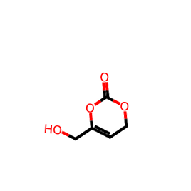 O=C1OCC=C(CO)O1